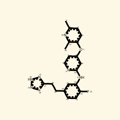 Cc1ccc(Oc2ccnc(Nc3cc(CCc4nn[nH]n4)ccc3F)c2)c(C)n1